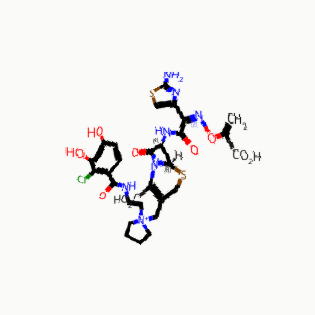 C=C(O/N=C(\C(=O)N[C@@H]1C(=O)N2C(C(=O)O)=C(C[N+]3(CCNC(=O)c4ccc(O)c(O)c4Cl)CCCC3)CS[C@H]12)c1csc(N)n1)C(=O)O